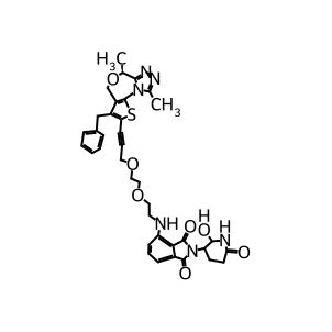 Cc1nnc2n1-c1sc(C#CCOCCOCCNc3cccc4c3C(=O)N(C3CCC(=O)NC3O)C4=O)c(Cc3ccccc3)c1CO[C@H]2C